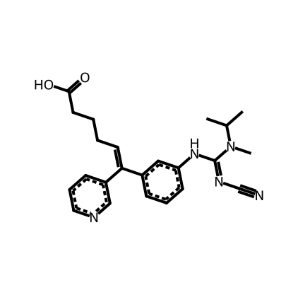 CC(C)N(C)C(=NC#N)Nc1cccc(C(=CCCCC(=O)O)c2cccnc2)c1